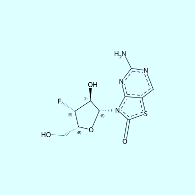 Nc1ncc2sc(=O)n([C@@H]3O[C@H](CO)[C@H](F)[C@H]3O)c2n1